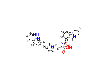 CC(C)Cn1ncc2c(C(=O)NC(CCN3CC[C@@H](CCc4ccc5c(n4)NCCC5)C3)C(=O)O)cccc21